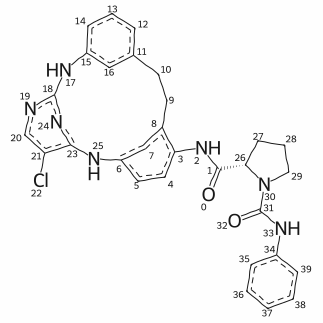 O=C(Nc1ccc2cc1CCc1cccc(c1)Nc1ncc(Cl)c(n1)N2)[C@@H]1CCCN1C(=O)Nc1ccccc1